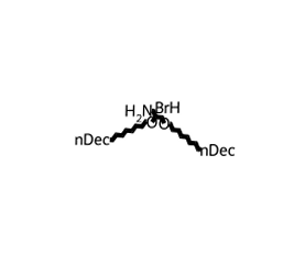 Br.CCCCCCCCCCCCCCCCCCOCC(CN)OCCCCCCCCCCCCCCCCCC